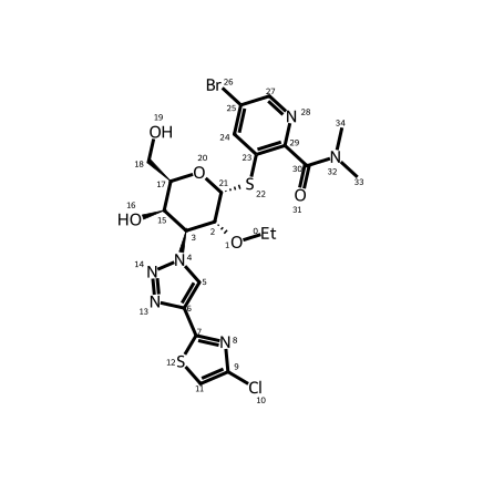 CCO[C@@H]1[C@@H](n2cc(-c3nc(Cl)cs3)nn2)[C@@H](O)[C@@H](CO)O[C@@H]1Sc1cc(Br)cnc1C(=O)N(C)C